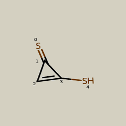 S=c1cc1S